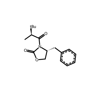 C[C@H](C(=O)N1C(=O)OC[C@H]1Cc1ccccc1)C(C)(C)C